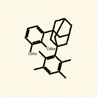 COc1cccc(C23CC4CC(C2)CC(c2c(C)c(C)cc(C)c2C)(C4)C3)c1OC